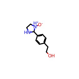 [O-][NH+]1CCNC1c1ccc(CCO)cc1